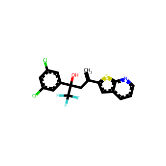 C=C(CC(O)(c1cc(Cl)cc(Cl)c1)C(F)(F)F)c1cc2cccnc2s1